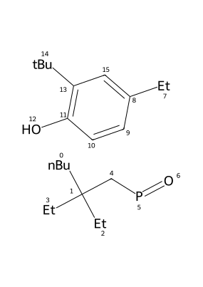 CCCCC(CC)(CC)CP=O.CCc1ccc(O)c(C(C)(C)C)c1